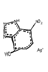 O=[N+]([O-])c1ccc(O)c2nn[nH]c12.[Ag+]